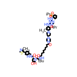 Cc1cc(Nc2ncnc(Nc3ccccc3S(=O)(=O)C(C)C)n2)c(OC(C)C)cc1N1CCC(N2CCN(C(=O)CCCCCCCCC(=O)N[C@H](C(=O)N3C[C@H](O)C[C@H]3C(=O)NCc3ccc(-c4scnc4C)cc3)C(C)(C)C)CC2)CC1